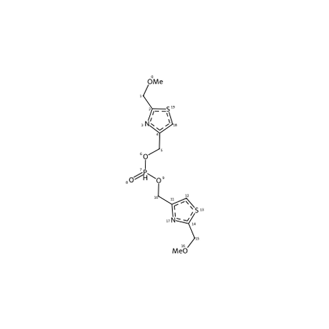 COCc1nc(CO[PH](=O)OCc2csc(COC)n2)cs1